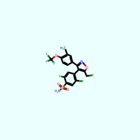 Cc1cc(-c2noc(CF)c2-c2cc(F)c(S(N)(=O)=O)cc2F)ccc1OC(F)(F)F